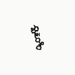 Cc1cccc2c(NCC3CCC(C(=O)N4CCCCC4)CC3)ccnc12